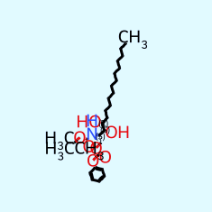 CCCCCCCCCCCCCC[C@@H](O)[C@@H](O)[C@H](COC(=O)Oc1ccccc1)NC(=O)OC(C)(C)C